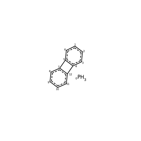 P.c1ccc2c(c1)-c1ccccc1-2